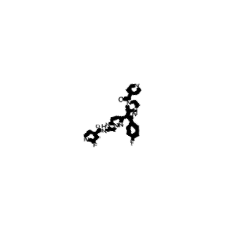 O=C(Nc1cn2nc(-c3c(-c4ccc(F)cc4)nn4c3CN(C(=O)c3ccncc3)CC4)ccc2n1)c1ccnc(F)c1